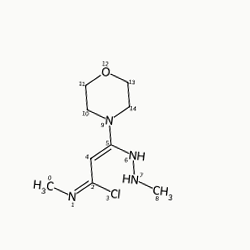 C/N=C(Cl)\C=C(/NNC)N1CCOCC1